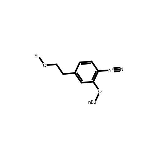 CCCCOc1cc(CCOCC)ccc1[N+]#N